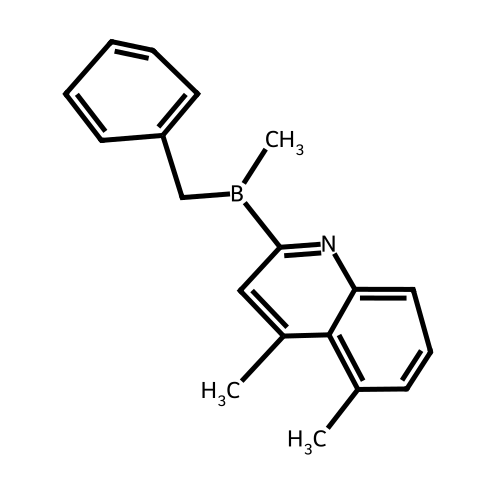 CB(Cc1ccccc1)c1cc(C)c2c(C)cccc2n1